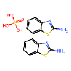 Nc1nc2ccccc2s1.Nc1nc2ccccc2s1.O=P(O)(O)O